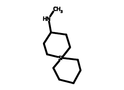 CNC1CC[Si]2(CCCCC2)CC1